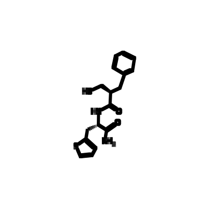 NC(=O)[C@H](Cc1cccs1)NC(=O)[C@@H](CS)Cc1ccccc1